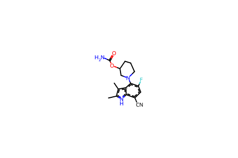 Cc1[nH]c2c(C#N)cc(F)c(N3CCCC(OC(N)=O)C3)c2c1C